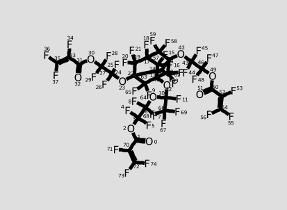 O=C(OC(F)(F)C(F)(F)OC(F)(OC12C(F)(F)C3(F)C(F)(F)C(OC(F)(F)C(F)(F)OC(=O)C(F)=C(F)F)(C(F)(F)C(OC(F)(F)C(F)(F)OC(=O)C(F)=C(F)F)(C3(F)F)C1(F)F)C2(F)F)C(F)(F)F)C(F)=C(F)F